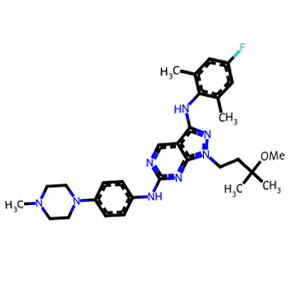 COC(C)(C)CCn1nc(Nc2c(C)cc(F)cc2C)c2cnc(Nc3ccc(N4CCN(C)CC4)cc3)nc21